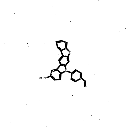 C=Cc1ccc(-n2c3ccc(CCCCCCCC)cc3c3cc4c(cc32)oc2ccccc24)cc1